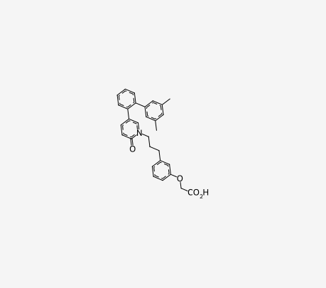 Cc1cc(C)cc(-c2ccccc2-c2ccc(=O)n(CCCc3cccc(OCC(=O)O)c3)c2)c1